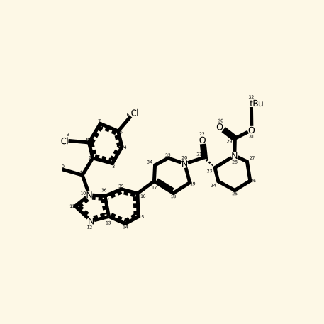 CC(c1ccc(Cl)cc1Cl)n1cnc2ccc(C3=CCN(C(=O)[C@H]4CCCCN4C(=O)OC(C)(C)C)CC3)cc21